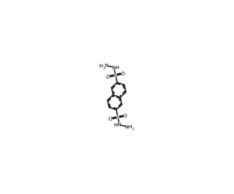 NNS(=O)(=O)c1ccc2cc(S(=O)(=O)NN)ccc2c1